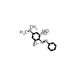 [B+2]c1cc(N(C)C)ccc1N=Nc1ccccc1.[OH-].[OH-]